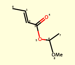 CC=CC(=O)OC(C)OC